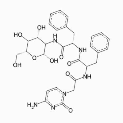 Nc1ccn(CC(=O)NC(Cc2ccccc2)C(=O)N[C@@H](Cc2ccccc2)C(=O)NC2[C@@H](O)C(O)[C@@H](CO)O[C@H]2O)c(=O)n1